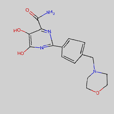 NC(=O)c1nc(-c2ccc(CN3CCOCC3)cc2)nc(O)c1O